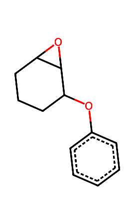 c1ccc(OC2CCCC3OC23)cc1